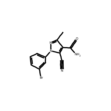 Cc1nn(-c2cccc(Br)c2)c(C#N)c1C(N)=O